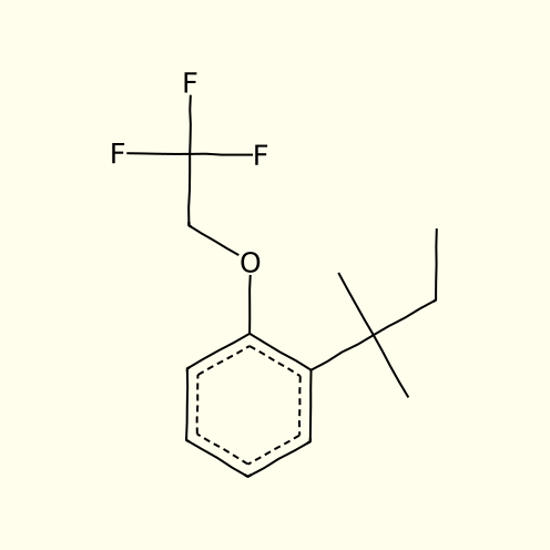 CCC(C)(C)c1ccccc1OCC(F)(F)F